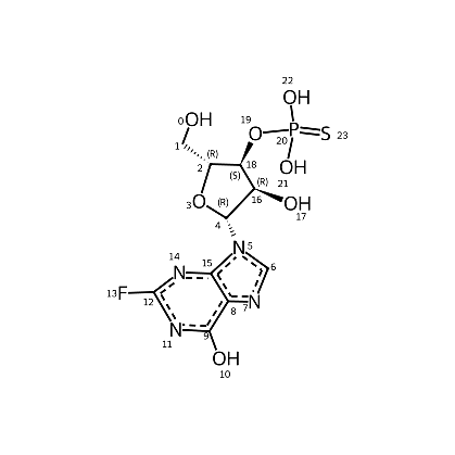 OC[C@H]1O[C@@H](n2cnc3c(O)nc(F)nc32)[C@H](O)[C@@H]1OP(O)(O)=S